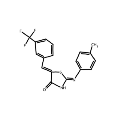 Cc1ccc(N=C2NC(=O)C(=Cc3cccc(C(F)(F)F)c3)S2)cc1